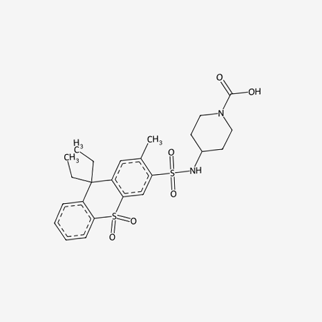 CCC1(CC)c2ccccc2S(=O)(=O)c2cc(S(=O)(=O)NC3CCN(C(=O)O)CC3)c(C)cc21